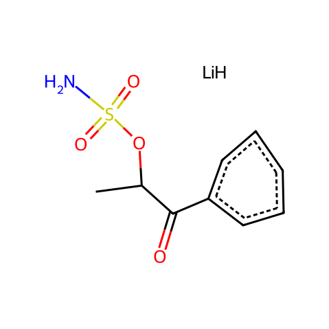 CC(OS(N)(=O)=O)C(=O)c1ccccc1.[LiH]